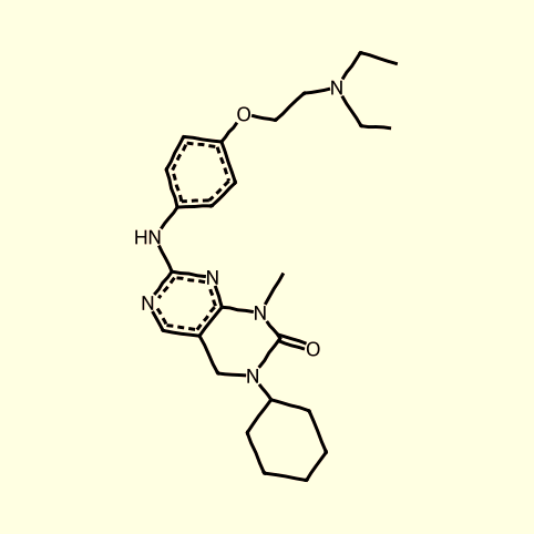 CCN(CC)CCOc1ccc(Nc2ncc3c(n2)N(C)C(=O)N(C2CCCCC2)C3)cc1